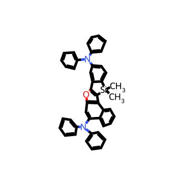 C[Si]1(C)c2ccc(N(c3ccccc3)c3ccccc3)cc2-c2oc3cc(N(c4ccccc4)c4ccccc4)c4ccccc4c3c21